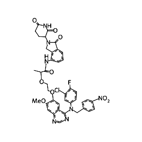 COc1cc2ncnc(N(Cc3ccc([N+](=O)[O-])cc3)c3ccc(F)c(Cl)c3)c2cc1OCCOC(C)C(=O)Nc1cccc2c1CN(C1CCC(=O)NC1=O)C2=O